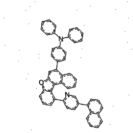 c1ccc(N(c2ccccc2)c2ccc(-c3cc4oc5cccc(-c6ccc(-c7cccc8ccccc78)cn6)c5c4c4ccccc34)cc2)cc1